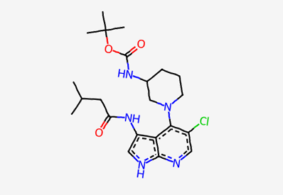 CC(C)CC(=O)Nc1c[nH]c2ncc(Cl)c(N3CCCC(NC(=O)OC(C)(C)C)C3)c12